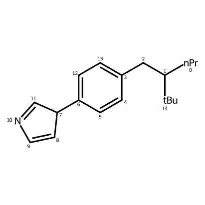 CCCC(Cc1ccc(C2C=CN=C2)cc1)C(C)(C)C